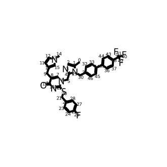 Cc1cnc(Cn2cc(Cc3ccn(C)c3)c(=O)nc2SCc2ccc(F)cc2)n1Cc1ccc(-c2ccc(C(F)(F)F)cc2)cc1